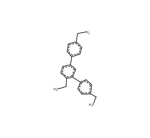 PCc1ccc(-c2ccc(CP)c(-c3ccc(CP)cc3)c2)cc1